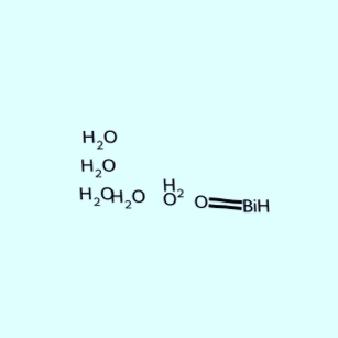 O.O.O.O.O.[O]=[BiH]